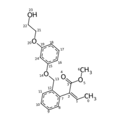 CC=C(C(=O)OC)c1ccccc1COc1cccc(OCCO)c1